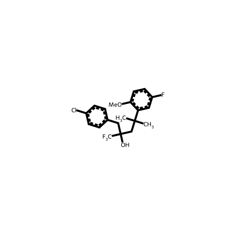 COc1ccc(F)cc1C(C)(C)CC(O)(Cc1ccc(Cl)cc1)C(F)(F)F